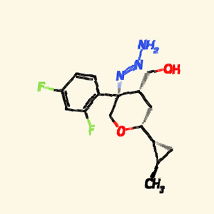 C[C@@H]1C[C@H]1[C@H]1C[C@@H](CO)[C@](N=NN)(c2ccc(F)cc2F)CO1